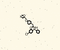 O=C(Cc1ccc(OCc2cnco2)cc1)NC(c1ccccc1)c1ccc(Cl)cc1